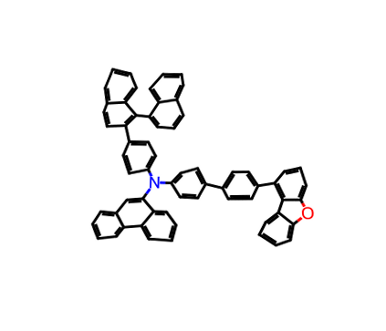 c1ccc2c(-c3c(-c4ccc(N(c5ccc(-c6ccc(-c7cccc8oc9ccccc9c78)cc6)cc5)c5cc6ccccc6c6ccccc56)cc4)ccc4ccccc34)cccc2c1